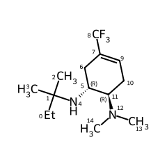 CCC(C)(C)N[C@@H]1CC(C(F)(F)F)=CC[C@H]1N(C)C